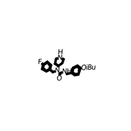 CC(C)COc1ccc(CNC(=O)N(Cc2ccc(F)cc2)C2CCNCC2)cc1